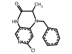 CC1C(=O)Nc2cnc(Cl)cc2N1Cc1ccccc1